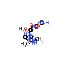 CC[C@@H]1c2nnc(C)n2-c2cnc(Nc3ccc(C(=O)N4CCO[C@@H](CN5CCNCC5)C4)cc3OC)nc2N1CC1CCCCC1